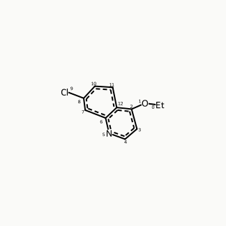 CCOc1ccnc2cc(Cl)ccc12